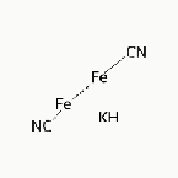 N#[C][Fe][Fe][C]#N.[KH]